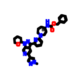 Cn1cc(-c2cc3c(-c4cccc(N5CCC[C@H](NC(=O)OCc6ccccc6)CC5)n4)nn(C4CCCCO4)c3cn2)cn1